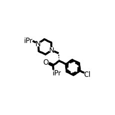 CC(C)C(=O)[C@H](CN1CCN(C(C)C)CC1)c1ccc(Cl)cc1